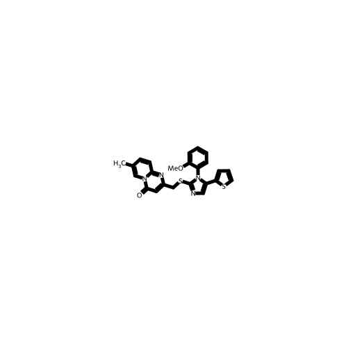 COc1ccccc1-n1c(-c2cccs2)cnc1SCc1cc(=O)n2cc(C)ccc2n1